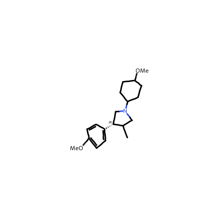 COc1ccc([C@@H]2CN(C3CCC(OC)CC3)CC2C)cc1